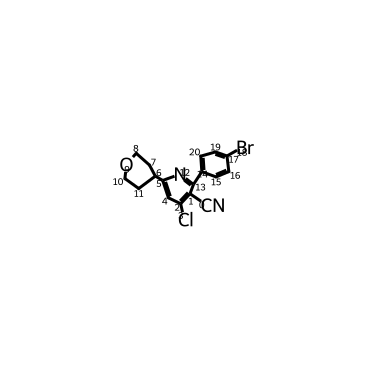 N#Cc1c(Cl)cc(C2CCOCC2)nc1-c1ccc(Br)cc1